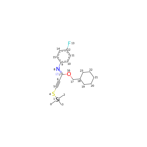 C[Si](C)(C)SC#C/C(=N/c1ccc(F)cc1)OCC1CCCCC1